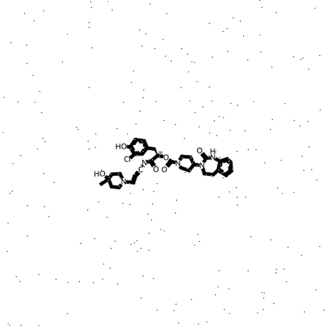 CC1(O)CCN(C=C=C=NC(=O)[C@@H](Cc2ccc(O)c(Cl)c2)OC(=O)N2CCC(N3CCc4ccccc4NC3=O)CC2)CC1